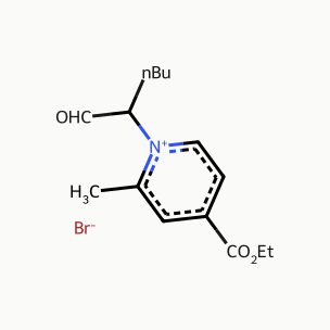 CCCCC(C=O)[n+]1ccc(C(=O)OCC)cc1C.[Br-]